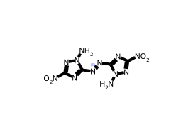 Nn1nc([N+](=O)[O-])nc1/N=N/c1nc([N+](=O)[O-])nn1N